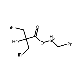 CC(C)C[SiH2]OC(=O)C(O)(CC(C)C)CC(C)C